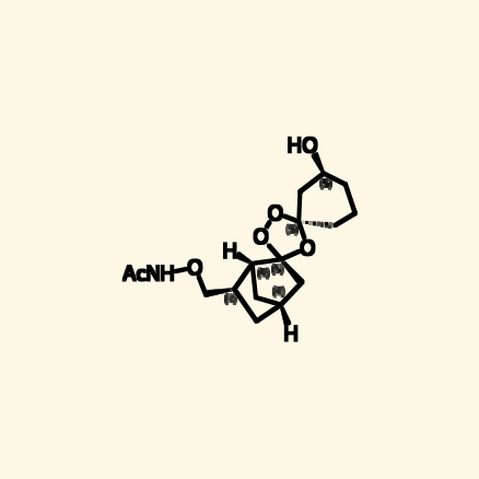 CC(=O)NOC[C@@H]1C[C@@H]2C[C@H]1[C@]1(C2)OO[C@]2(CCC[C@H](O)C2)O1